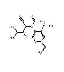 COc1cc(OC)nc(SC(C(C)C)C(C#N)OC(C)=O)n1